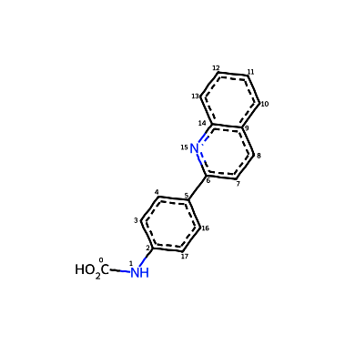 O=C(O)Nc1ccc(-c2ccc3ccccc3n2)cc1